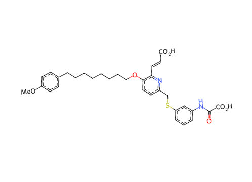 COc1ccc(CCCCCCCCOc2ccc(CSc3cccc(NC(=O)C(=O)O)c3)nc2C=CC(=O)O)cc1